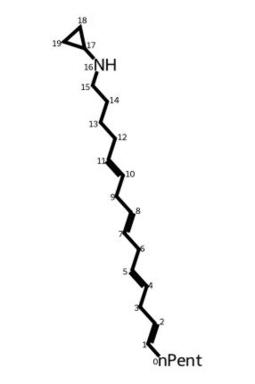 CCCCCC=CCC=CCC=CCC=CCCCCNC1CC1